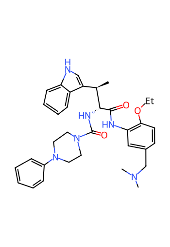 CCOc1ccc(CN(C)C)cc1NC(=O)[C@H](NC(=O)N1CCN(c2ccccc2)CC1)[C@H](C)c1c[nH]c2ccccc12